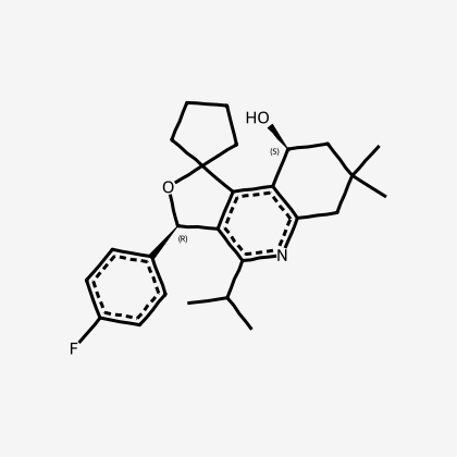 CC(C)c1nc2c(c3c1[C@@H](c1ccc(F)cc1)OC31CCCC1)[C@@H](O)CC(C)(C)C2